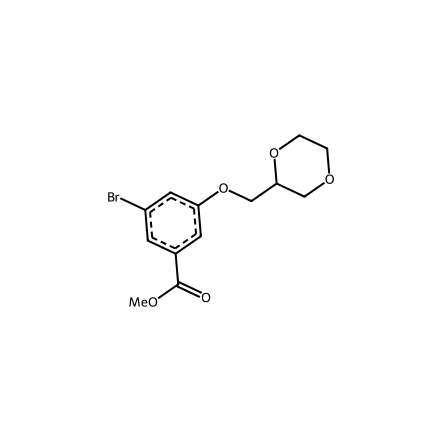 COC(=O)c1cc(Br)cc(OCC2COCCO2)c1